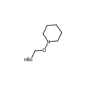 CCCCCON1CCCCC1